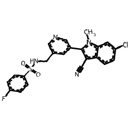 Cn1c(-c2cncc(CNS(=O)(=O)c3ccc(F)cc3)c2)c(C#N)c2ccc(Cl)cc21